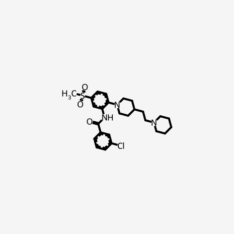 CS(=O)(=O)c1ccc(N2CCC(CCN3CCCCC3)CC2)c(NC(=O)c2cccc(Cl)c2)c1